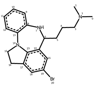 CN(C)CCCC1Nc2ccccc2N2CCc3cc(Br)cc1c32